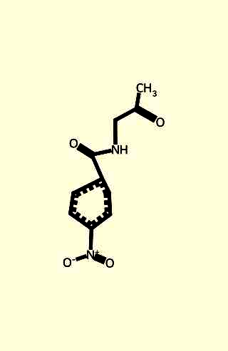 CC(=O)CNC(=O)c1ccc([N+](=O)[O-])cc1